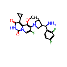 COc1c(N2CCC(C(N)c3ccc(F)cc3F)C2)c(F)cn2c(=O)[nH]c(=O)c(C3CC3)c12